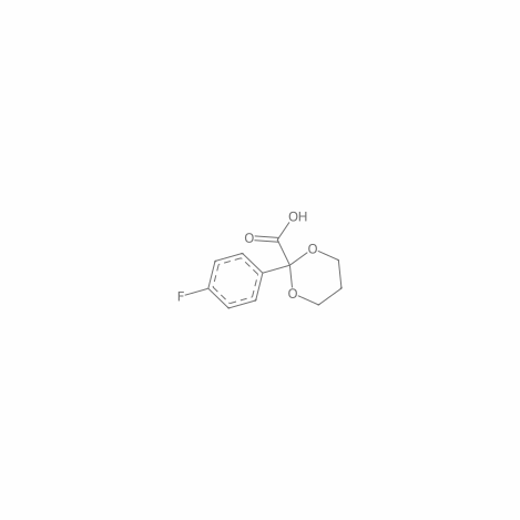 O=C(O)C1(c2ccc(F)cc2)OCCCO1